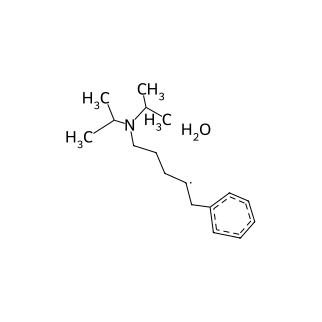 CC(C)N(CCC[CH]Cc1ccccc1)C(C)C.O